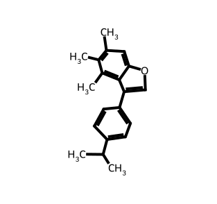 Cc1cc2occ(-c3ccc(C(C)C)cc3)c2c(C)c1C